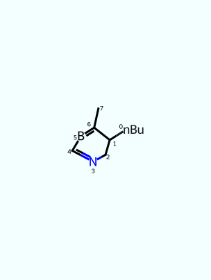 CCCCC1CN=CB=C1C